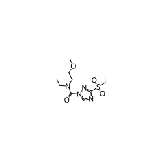 CCN(CCOC)C(=O)n1cnc(S(=O)(=O)CC)n1